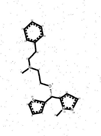 CN(CCO[C@@H](c1cccs1)c1ccnn1C)CCc1ccccc1